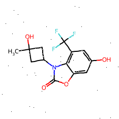 CC1(O)CC(n2c(=O)oc3cc(O)cc(C(F)(F)F)c32)C1